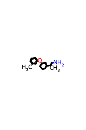 Cc1cccc(O[C@@H]2CCCC(C(C)CN)C2)c1